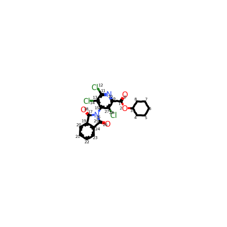 O=C(OC1CCCCC1)c1nc(Cl)c(Cl)c(N2C(=O)c3ccccc3C2=O)c1Cl